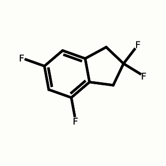 Fc1cc(F)c2c(c1)CC(F)(F)C2